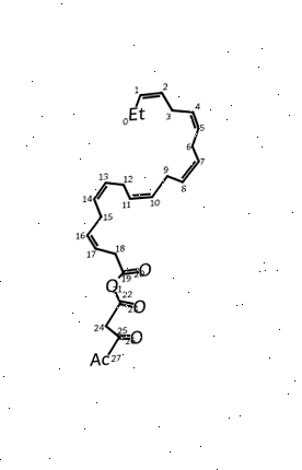 CC/C=C\C/C=C\C/C=C\C/C=C\C/C=C\C/C=C\CC(=O)OC(=O)CC(=O)C(C)=O